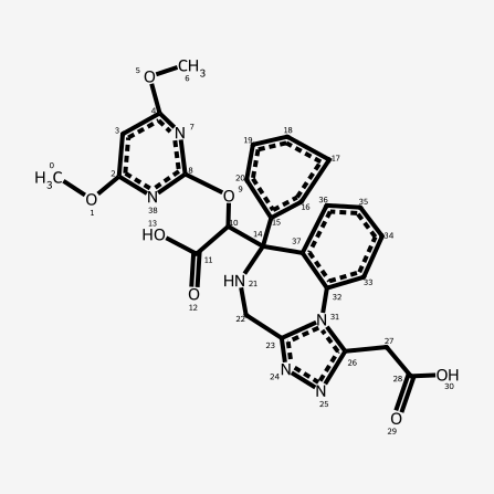 COc1cc(OC)nc(OC(C(=O)O)C2(c3ccccc3)NCc3nnc(CC(=O)O)n3-c3ccccc32)n1